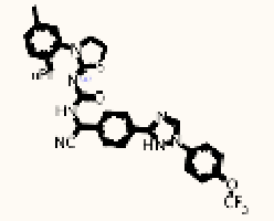 CCCc1ccc(C)cc1N1CCS/C1=N\C(=O)NC(C#N)c1ccc(C2N=CN(c3ccc(OC(F)(F)F)cc3)N2)cc1